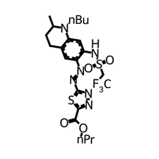 CCCCN1c2cc(NS(=O)(=O)CC(F)(F)F)c(N=Nc3nnc(C(=O)OCCC)s3)cc2CCC1C